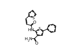 NC(=O)c1cc(-c2ccccc2)sc1NC(=O)/C=C\c1cccs1